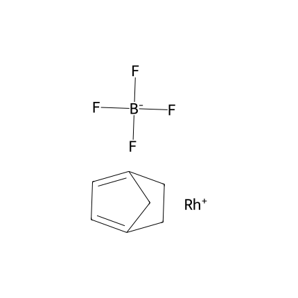 C1=C2CCC(=C1)C2.F[B-](F)(F)F.[Rh+]